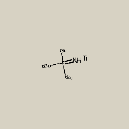 CC(C)(C)P(=N)(C(C)(C)C)C(C)(C)C.[Ti]